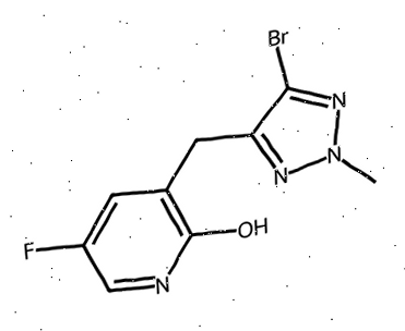 Cn1nc(Br)c(Cc2cc(F)cnc2O)n1